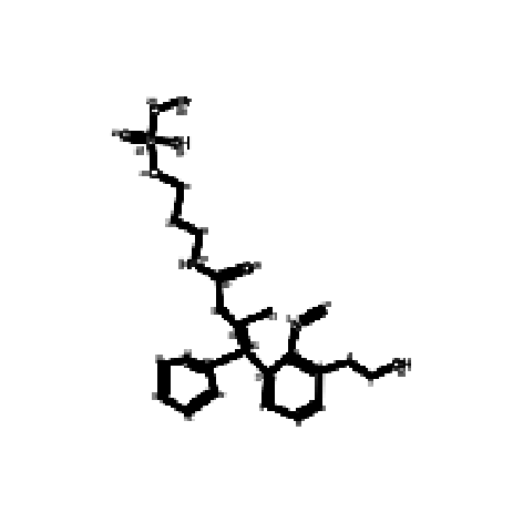 C=Nc1c(CCO)cccc1/C(=C(\C)CC(=O)NCCCOP(=O)(O)OC(C)C)c1ccccc1